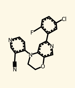 N#Cc1cnccc1N1CCOc2cnc(-c3cc(Cl)ccc3F)cc21